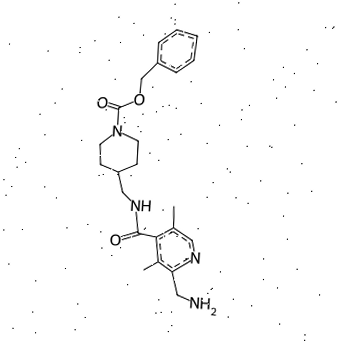 Cc1cnc(CN)c(C)c1C(=O)NCC1CCN(C(=O)OCc2ccccc2)CC1